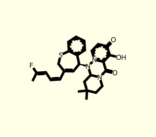 C/C(F)=C\C=C/C1=C[C@H](N2C3CC(C)(C)CCN3C(=O)c3c(O)c(=O)ccn32)c2ccccc2SC1